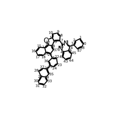 c1ccc(-c2nc(-c3cccc4oc5c6ccccc6c(-c6cccc(-c7ccc8ccccc8c7)c6)cc5c34)nc3ccccc23)cc1